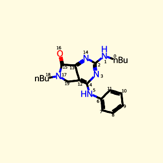 CCCCNc1nc(Nc2ccccc2)c2c(n1)C(=O)N(CCCC)C2